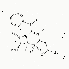 CO[C@H]1C(=O)N2C(C(=O)c3ccccc3)=C(C)C(OC(=O)C(C)(C)C)S(=O)(=O)[C@@H]12